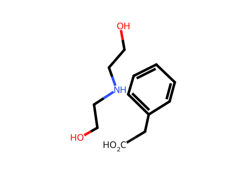 O=C(O)Cc1ccccc1.OCCNCCO